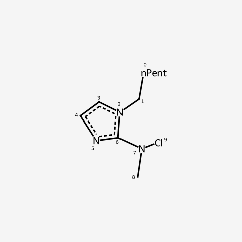 CCCCCCn1ccnc1N(C)Cl